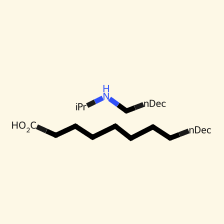 CCCCCCCCCCCCCCCCCC(=O)O.CCCCCCCCCCCNC(C)C